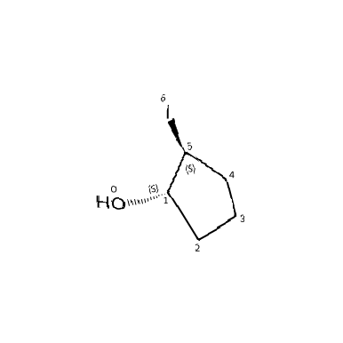 O[C@H]1CCC[C@@H]1I